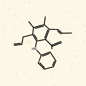 C=CCc1c(C)c(C)c(/C=C/C)c(C(=C)C)c1Nc1ccccc1